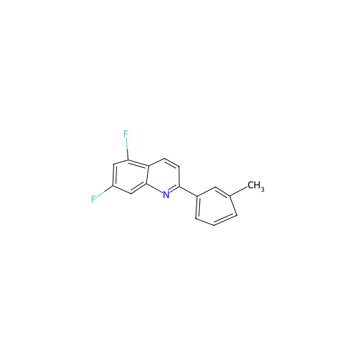 Cc1cccc(-c2ccc3c(F)cc(F)cc3n2)c1